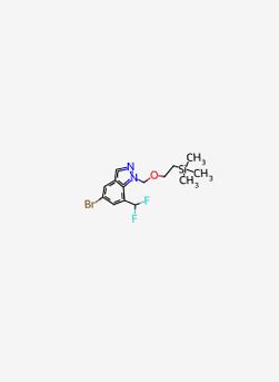 C[Si](C)(C)CCOCn1ncc2cc(Br)cc(C(F)F)c21